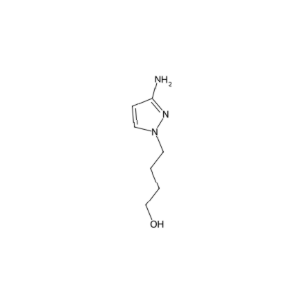 Nc1ccn(CCCCO)n1